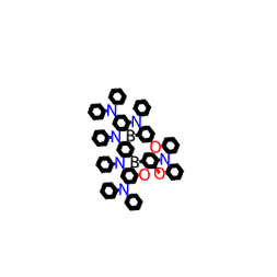 c1ccc(N(c2ccccc2)c2cc3c4c(c2)N(c2ccccc2)c2cc5c(cc2B4c2cc4c6c(c2O3)Oc2ccccc2N6c2ccccc2O4)B2c3ccccc3N(c3ccccc3)c3cc(N(c4ccccc4)c4ccccc4)cc(c32)N5c2ccccc2)cc1